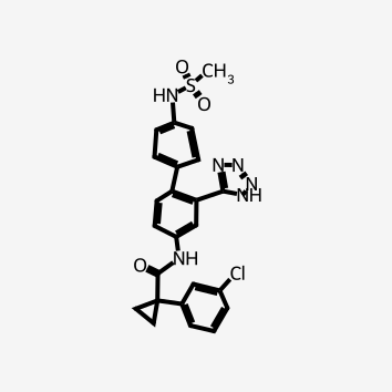 CS(=O)(=O)Nc1ccc(-c2ccc(NC(=O)C3(c4cccc(Cl)c4)CC3)cc2-c2nnn[nH]2)cc1